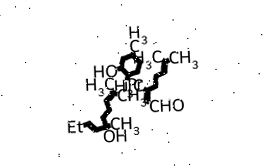 CC(C)=CCCC(C)=CC=O.CC1CCC(C(C)C)C(O)C1.CCC=CC(C)(O)CCC=C(C)C